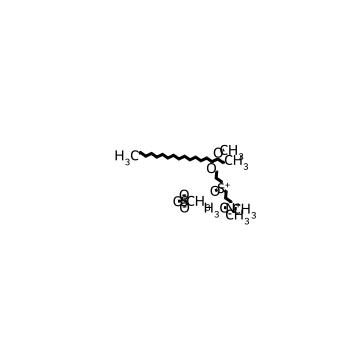 CCCCCCCCCCCCCCC(OCCC[S+]([O-])CCC[N+](C)(C)C)C(CC)OC.CS(=O)(=O)[O-]